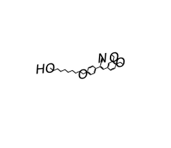 COc1ccc(C=C(C#N)c2ccc(OCCCCCCCCO)cc2)cc1OC